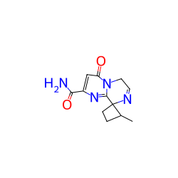 CC1CCC12N=CCn1c2nc(C(N)=O)cc1=O